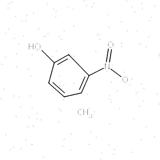 C.O=[N+]([O-])c1cccc(O)c1